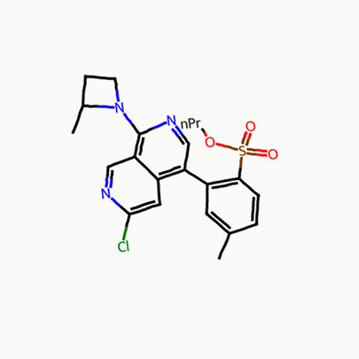 CCCOS(=O)(=O)c1ccc(C)cc1-c1cnc(N2CCC2C)c2cnc(Cl)cc12